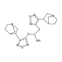 CCCC(Sc1nsnc1C1CN2CCC1C2)Sc1nsnc1C1CN2CCC1C2